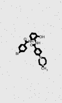 CN1CCCN(c2ccc(C(=O)Nc3c(O)cccc3NC(=O)c3ccc(Br)cc3)cc2)CC1